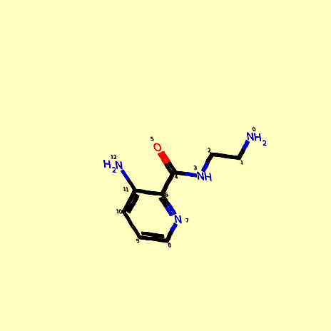 NCCNC(=O)c1ncccc1N